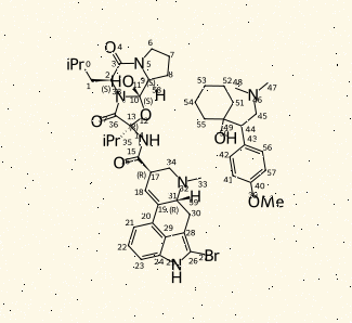 CC(C)C[C@H]1C(=O)N2CCC[C@H]2[C@]2(O)O[C@](NC(=O)[C@@H]3C=C4c5cccc6[nH]c(Br)c(c56)C[C@H]4N(C)C3)(C(C)C)C(=O)N12.COc1ccc(C(CN(C)C)C2(O)CCCCC2)cc1